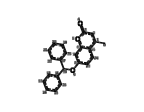 Cc1cc(=O)oc2cc(OC(c3ccccc3)c3ccccc3)ccc12